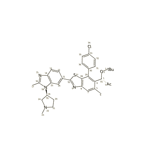 CC(=O)[C@@H](OC(C)(C)C)c1c(C)cc2nc(-c3ccc4nc(C)n([C@H]5CCN(C)C5)c4c3)sc2c1-c1ccc(Cl)cc1